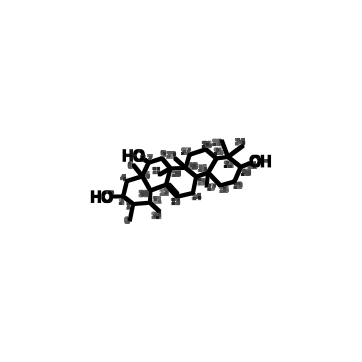 CC1C(O)CC2(C)C(O)CC3(C)C(=CCC4C5(C)CCC(O)C(C)(C)C5CCC43C)C2C1C